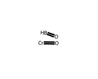 B=O.[O]=[Cr]